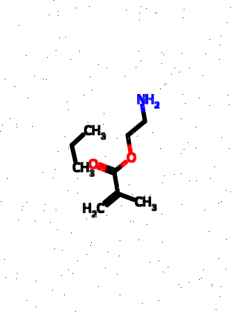 C=C(C)C(=O)OCCN.CCC